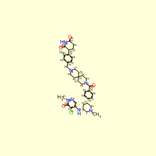 CN1C[C@H](Nc2cnn(C)c(=O)c2Cl)C[C@H](c2ccc(C(=O)N3CCC4(CCN(Cc5ccc(C6CCC(=O)NC6=O)c(F)c5)CC4)CC3)cc2)C1